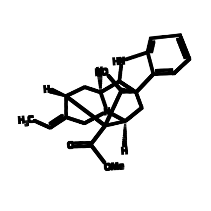 C/C=C1/CN2[C@H]3C[C@@]45c6ccccc6NC4[C@@H]2C[C@@H]1C3(C(=O)OC)C5O